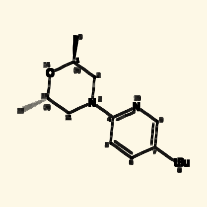 C[C@H]1CN(c2ccc(C(C)(C)C)cn2)C[C@H](C)O1